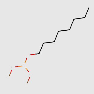 CCCCCCCCOP(OBr)OBr